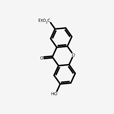 CCOC(=O)c1ccc2oc3ccc(O)cc3c(=O)c2c1